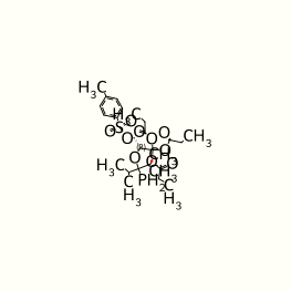 CCC(=O)OC(OC(=O)CC)(OC(=O)CC)[C@@H](COS(=O)(=O)c1ccc(C)cc1)OC(P)(C(C)C)C(C)C